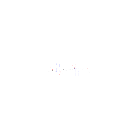 CCC(=O)C(C)CCNC(=O)CCCCC(=O)NCC(=O)C(C)C